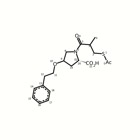 CC(=O)SCC(C)C(=O)N1CC(OCCc2ccccc2)C[C@H]1C(=O)O